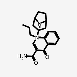 CCC[N+]1(C2CC3CCC(C2)N3C)C=C(C(N)=O)C(=O)c2ccccc21